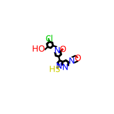 O=c1cc(-c2cn(S)c3ncc(N4CCOCC4)cc23)ccn1Cc1cc(Cl)cc(CO)c1